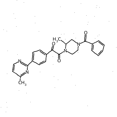 Cc1ccnc(-c2ccc(C(=O)C(=O)N3CCN(C(=O)c4ccccc4)CC3C)cc2)n1